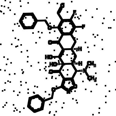 CN(C)[C@@H]1c2onc(OCc3ccccc3)c2C(=O)[C@@]2(O)C(O)=C3C(=O)c4c(c(F)c(F)c(C=O)c4OCc4ccccc4)C[C@H]3C[C@@H]12